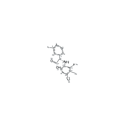 Cc1cccc(C(Nc2ccc(Cl)c(C)c2F)C(=O)O)c1